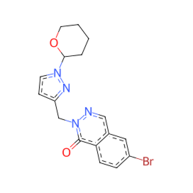 O=c1c2ccc(Br)cc2cnn1Cc1ccn(C2CCCCO2)n1